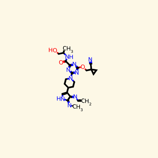 C=C/N=C1/C(C2CCN(c3nc(OCC4(C#N)CC4)nc(C(=O)NC(C)CO)n3)CC2)=CN/C1=N/C